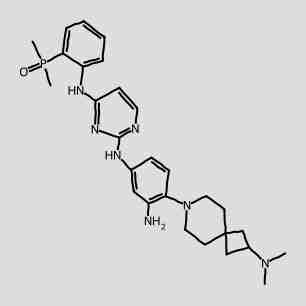 CN(C)C1CC2(CCN(c3ccc(Nc4nccc(Nc5ccccc5P(C)(C)=O)n4)cc3N)CC2)C1